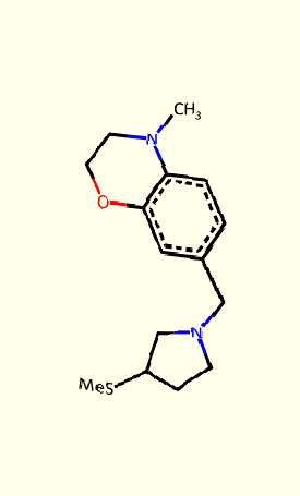 CSC1CCN(Cc2ccc3c(c2)OCCN3C)C1